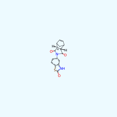 O=C1[C@@H]2C3C=CC(C3)[C@@H]2C(=O)N1c1ccc2sc(=O)[nH]c2c1